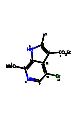 CCOC(=O)c1c(C)[nH]c2c(OC)ncc(Br)c12